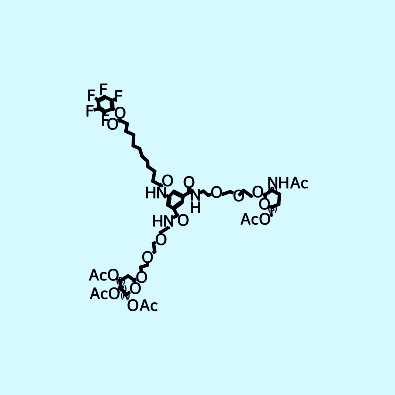 CC(=O)N[C@@H]1CC[C@@H](COC(C)=O)OC1OCCOCCOCCNC(=O)c1cc(NC(=O)CCCCCCCCCCC(=O)Oc2c(F)c(F)c(F)c(F)c2F)cc(C(=O)NCCOCCOCCOC2C[C@@H](OC(C)=O)[C@@H](OC(C)=O)[C@@H](COC(C)=O)O2)c1